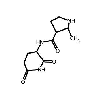 CC1NCCC1C(=O)NC1CCC(=O)NC1=O